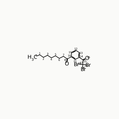 CCCCCCCCC(=O)c1cccc(C(=O)C(Br)(Br)Br)c1